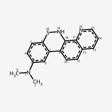 CN(C)c1ccc2c(c1)-c1ccc3cccnc3c1NS2